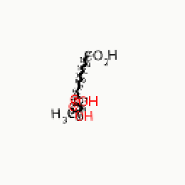 C[C@@H]1O[C@@H](OCCCCCCCCCCC(=O)O)[C@H](O)C[C@H]1O